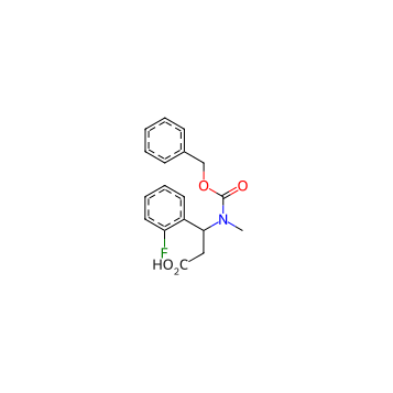 CN(C(=O)OCc1ccccc1)C(CC(=O)O)c1ccccc1F